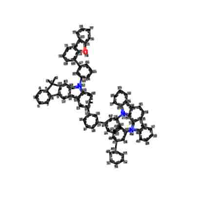 CC1(C)c2ccccc2-c2cc3c4cc(-c5cccc(-c6cccc(-n7c8ccccc8c8ccc9c%10ccccc%10n(-c%10cccc(-c%11ccccc%11)c%10)c9c87)c6)c5)ccc4n(-c4cccc(-c5cccc6c5oc5ccccc56)c4)c3cc21